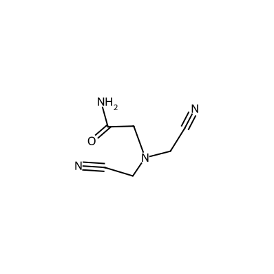 N#CCN(CC#N)CC(N)=O